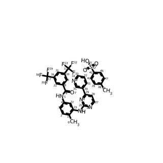 Cc1ccc(NC(=O)c2cc(C(F)(F)F)cc(C(F)(F)F)c2)cc1Nc1nccc(-c2cccnc2)n1.Cc1ccc(S(=O)(=O)O)cc1